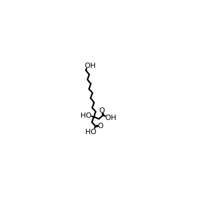 O=C(O)CC(O)(CCCCCCCCCCO)CC(=O)O